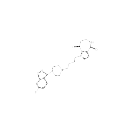 O=C1NCCC(=O)c2c1ccn2CCCCN1CCC(c2nsc3cc(F)ccc23)CC1